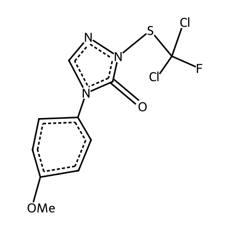 COc1ccc(-n2cnn(SC(F)(Cl)Cl)c2=O)cc1